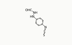 O=CNNc1ccc(N=C=S)cc1